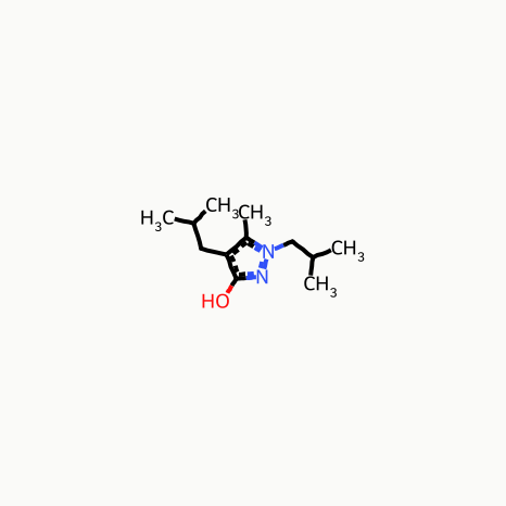 Cc1c(CC(C)C)c(O)nn1CC(C)C